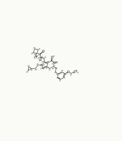 O=C1N[C@@H](CCc2cccc(OCC(F)(F)F)c2)Cc2nn(CCC3CC3)c(CNC(=O)C3(C(F)(F)F)CCC3)c21